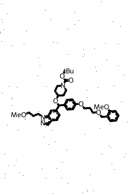 COCCCn1ncc2ccc(C(OC3CCN(C(=O)OC(C)(C)C)CC3)c3ccc(OCCCOCc4ccccc4OC)cc3)cc21